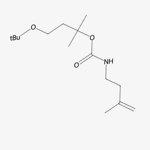 C=C(C)CCNC(=O)OC(C)(C)CCOC(C)(C)C